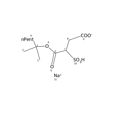 CCCCCC(C)(C)OC(=O)C(CC(=O)[O-])S(=O)(=O)O.[Na+]